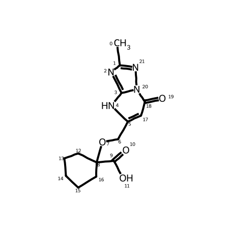 Cc1nc2[nH]c(COC3(C(=O)O)CCCCC3)cc(=O)n2n1